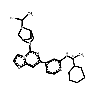 CC(C)N1CC2CC1CN2c1nc(-c2ccnc(N[C@@H](C)C3CCCCC3)c2)cc2nccn12